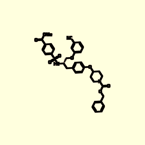 COC(=O)c1ccc(S(=O)(=O)N[C@H](COc2cccc(C#N)c2)Cc2ccc(OC3CCN(C(=O)OCc4ccccc4)CC3)cc2)cc1